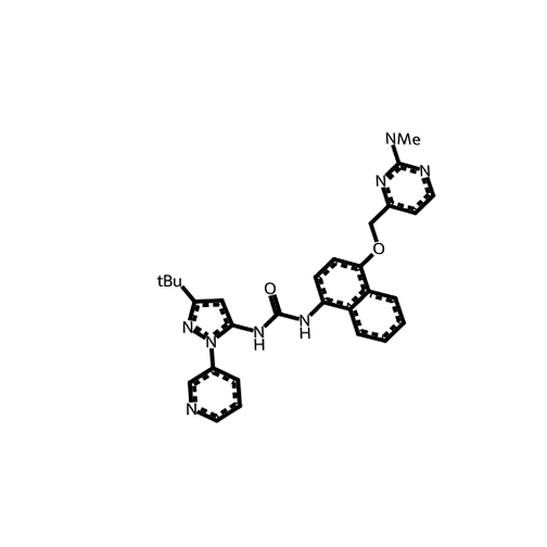 CNc1nccc(COc2ccc(NC(=O)Nc3cc(C(C)(C)C)nn3-c3cccnc3)c3ccccc23)n1